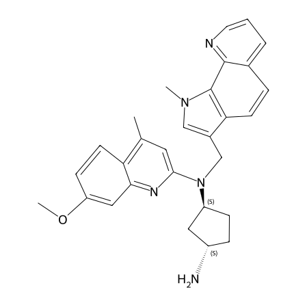 COc1ccc2c(C)cc(N(Cc3cn(C)c4c3ccc3cccnc34)[C@H]3CC[C@H](N)C3)nc2c1